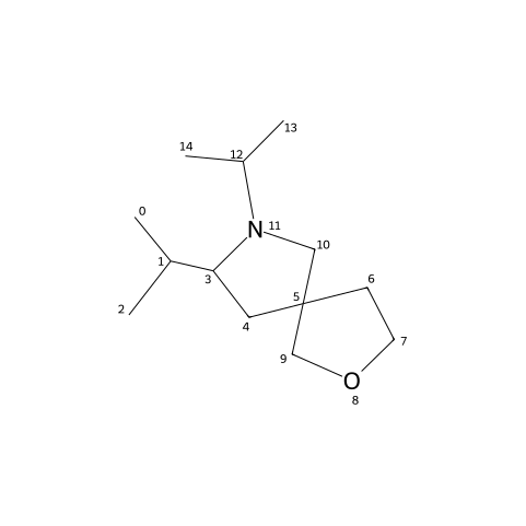 CC(C)C1CC2(CCOC2)CN1C(C)C